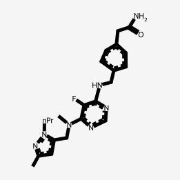 CCCn1nc(C)cc1CN(C)c1ncnc(NCc2ccc(CC(N)=O)cc2)c1F